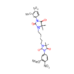 COc1cc(N2C(=O)N(CCCCCN3C(=O)N(c4ccc([N+](=O)[O-])c(OC)c4)C(=O)C3(C)C)C(C)(C)C2=O)ccc1[N+](=O)[O-]